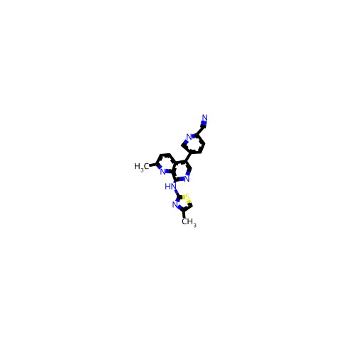 Cc1csc(Nc2ncc(-c3ccc(C#N)nc3)c3ccc(C)nc23)n1